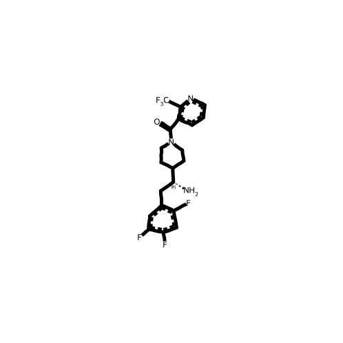 N[C@H](Cc1cc(F)c(F)cc1F)C1CCN(C(=O)c2cccnc2C(F)(F)F)CC1